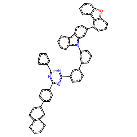 c1ccc(-c2nc(-c3ccc(-c4ccc5ccccc5c4)cc3)nc(-c3cccc(-c4cccc(-n5c6ccccc6c6ccc(-c7cccc8oc9ccccc9c78)cc65)c4)c3)n2)cc1